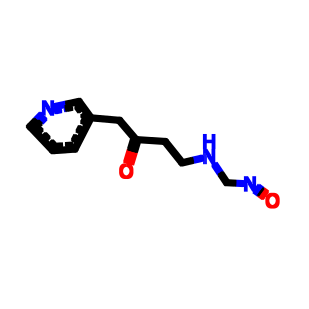 O=NCNCCC(=O)Cc1cccnc1